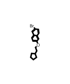 Brc1ccc2cc(OCCC3CCCC3)ccc2c1